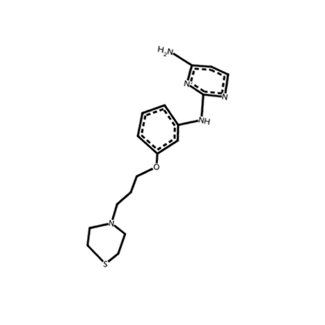 Nc1ccnc(Nc2cccc(OCCCN3CCSCC3)c2)n1